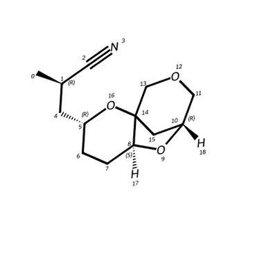 C[C@@H](C#N)C[C@H]1CC[C@@H]2O[C@H]3COCC2(C3)O1